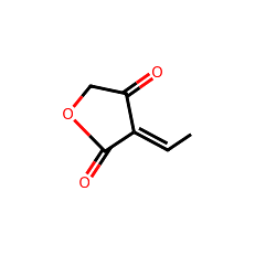 C/C=C1\C(=O)COC1=O